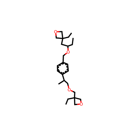 CCC(CC1(CC)COC1)OCc1ccc(C(C)COCC2(CC)COC2)cc1